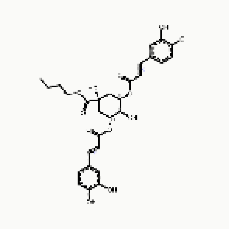 CCCCOC(=O)[C@]1(O)C[C@@H](OC(=O)/C=C/c2ccc(O)c(O)c2)[C@@H](O)[C@H](OC(=O)/C=C/c2ccc(O)c(O)c2)C1